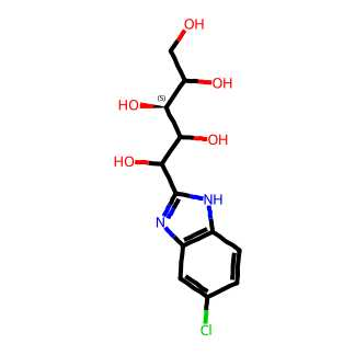 OCC(O)[C@H](O)C(O)C(O)c1nc2cc(Cl)ccc2[nH]1